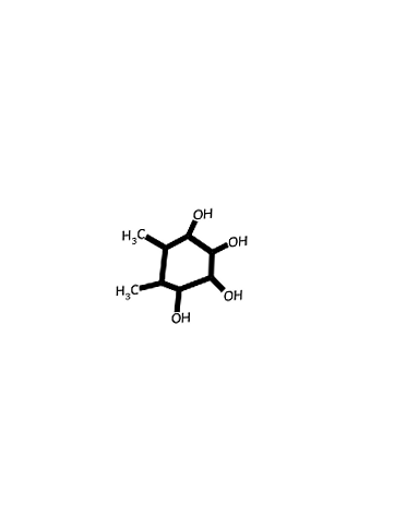 CC1C(C)C(O)C(O)C(O)C1O